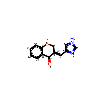 O=C1/C(=C/c2c[nH]cn2)CSc2ccccc21